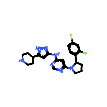 Fc1ccc(C2CCCN2c2cc(Nc3cc(C4CCNCC4)[nH]n3)ncn2)c(F)c1